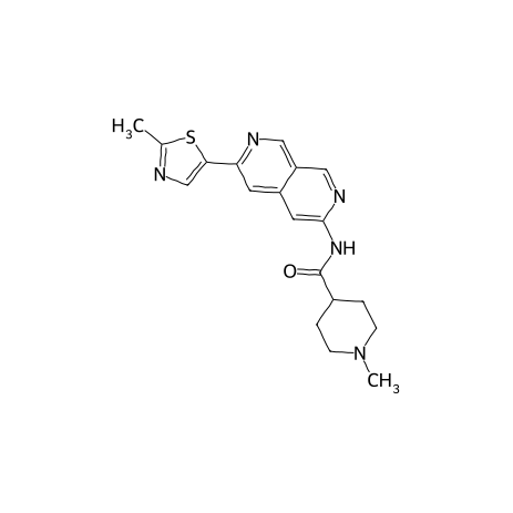 Cc1ncc(-c2cc3cc(NC(=O)C4CCN(C)CC4)ncc3cn2)s1